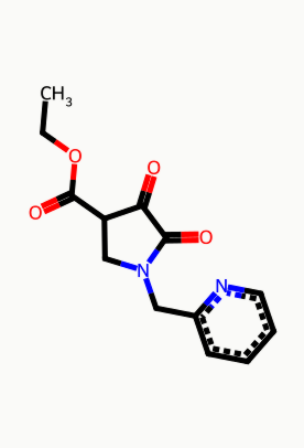 CCOC(=O)C1CN(Cc2ccccn2)C(=O)C1=O